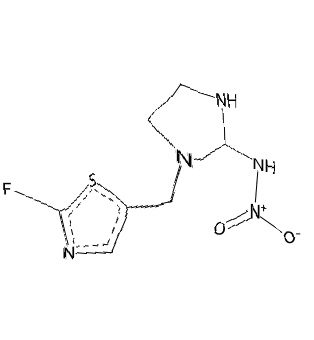 O=[N+]([O-])NC1NCCN1Cc1cnc(F)s1